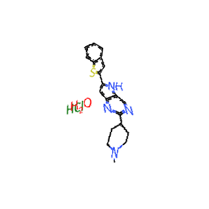 CN1CCC(c2ncc3[nH]c(-c4cc5ccccc5s4)cc3n2)CC1.Cl.O